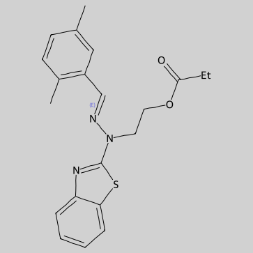 CCC(=O)OCCN(/N=C/c1cc(C)ccc1C)c1nc2ccccc2s1